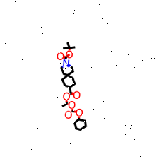 CC(OC(=O)OC1CCCCC1)OC(=O)C1CCC2(CC1)CCN(C(=O)OC(C)(C)C)CC2